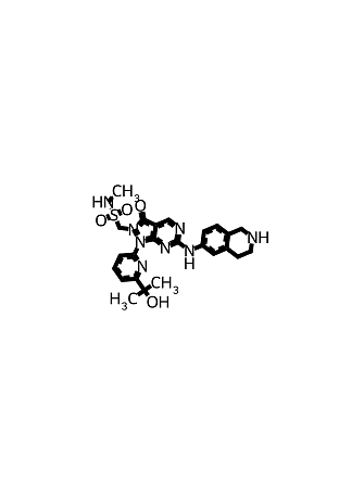 CNS(=O)(=O)Cn1c(=O)c2cnc(Nc3ccc4c(c3)CCNC4)nc2n1-c1cccc(C(C)(C)O)n1